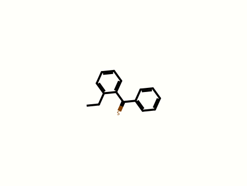 CCc1ccccc1C(=S)c1ccccc1